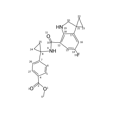 COC(=O)c1ccc(C2(NC(=O)c3cc(F)cc4c3NCC43CC3)CC2)cc1